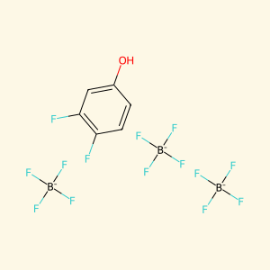 F[B-](F)(F)F.F[B-](F)(F)F.F[B-](F)(F)F.Oc1ccc(F)c(F)c1